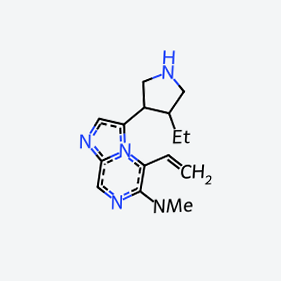 C=Cc1c(NC)ncc2ncc(C3CNCC3CC)n12